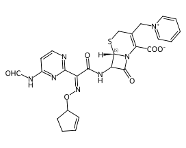 O=CNc1ccnc(C(=NOC2C=CCC2)C(=O)NC2C(=O)N3C(C(=O)[O-])=C(C[n+]4ccccc4)CS[C@@H]23)n1